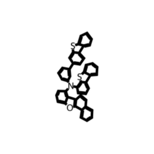 c1cc(-c2ccc3c(c2)sc2ccccc23)cc(N(c2cccc3c2sc2ccccc23)c2cccc3oc4c5ccccc5ccc4c23)c1